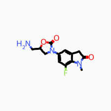 CN1C(=O)Cc2cc(N3CC(CN)OC3=O)cc(F)c21